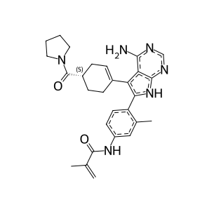 C=C(C)C(=O)Nc1ccc(-c2[nH]c3ncnc(N)c3c2C2=CC[C@@H](C(=O)N3CCCC3)CC2)c(C)c1